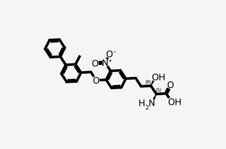 Cc1c(COc2ccc(CC[C@@H](O)[C@H](N)C(=O)O)cc2[N+](=O)[O-])cccc1-c1ccccc1